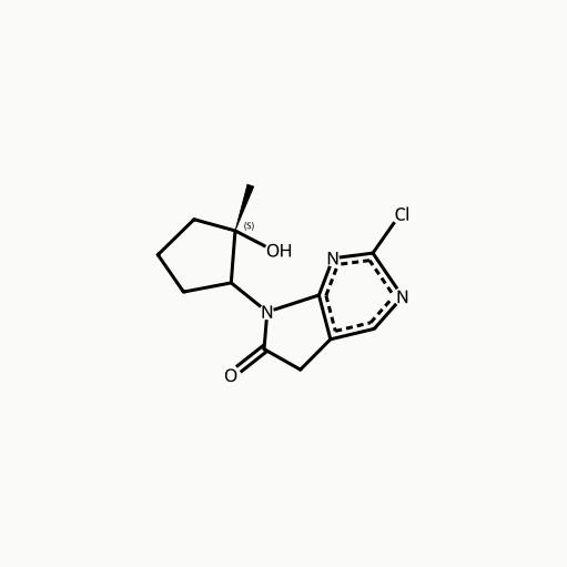 C[C@]1(O)CCCC1N1C(=O)Cc2cnc(Cl)nc21